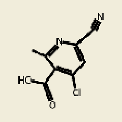 Cc1nc(C#N)cc(Cl)c1C(=O)O